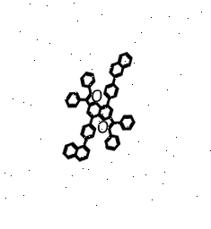 c1ccc(-c2oc3c(cc(-c4ccc(-c5cccc6ccccc56)cc4)c4c5oc(-c6ccccc6)c(-c6ccccc6)c5cc(-c5ccc(-c6ccc7ccccc7c6)cc5)c34)c2-c2ccccc2)cc1